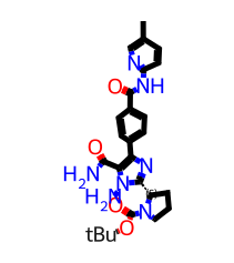 Cc1ccc(NC(=O)c2ccc(-c3nc([C@@H]4CCCN4C(=O)OC(C)(C)C)n(N)c3C(N)=O)cc2)nc1